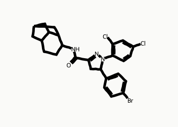 O=C(NC1CCC2CC3CC2C1C3)C1=NN(c2ccc(Cl)cc2Cl)C(c2ccc(Br)cc2)C1